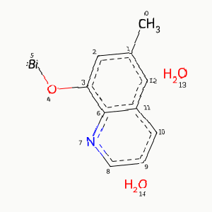 Cc1cc([O][Bi])c2ncccc2c1.O.O